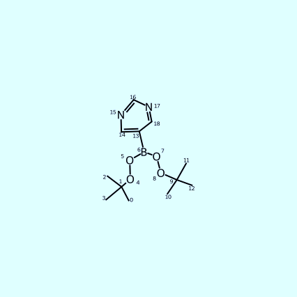 CC(C)(C)OOB(OOC(C)(C)C)c1cncnc1